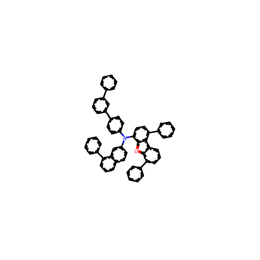 c1ccc(-c2cccc(-c3ccc(N(c4ccc5cccc(-c6ccccc6)c5c4)c4ccc(-c5ccccc5)c5c4oc4c(-c6ccccc6)cccc45)cc3)c2)cc1